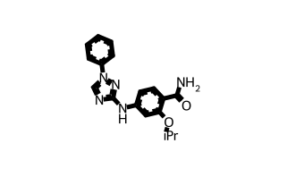 CC(C)Oc1cc(Nc2ncn(-c3ccccc3)n2)ccc1C(N)=O